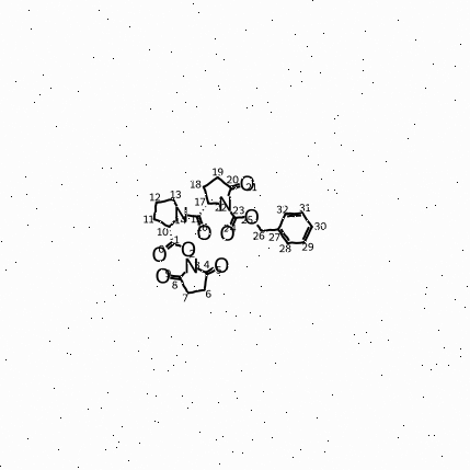 O=C(ON1C(=O)CCC1=O)[C@@H]1CCCN1C(=O)[C@@H]1CCC(=O)N1C(=O)OCc1ccccc1